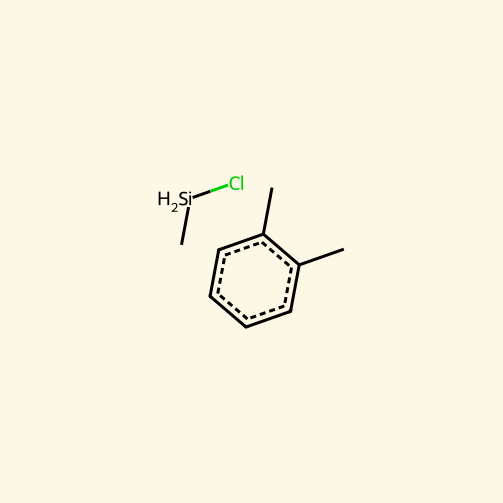 C[SiH2]Cl.Cc1ccccc1C